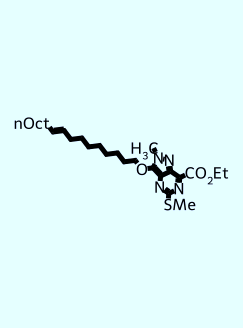 CCCCCCCCC=CCCCCCCCCOc1c2nc(SC)nc(C(=O)OCC)c2nn1C